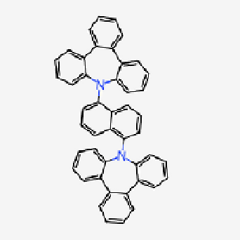 c1ccc2c(c1)-c1ccccc1N(c1cccc3c(N4c5ccccc5-c5ccccc5-c5ccccc54)cccc13)c1ccccc1-2